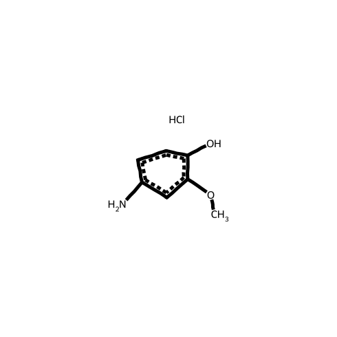 COc1cc(N)ccc1O.Cl